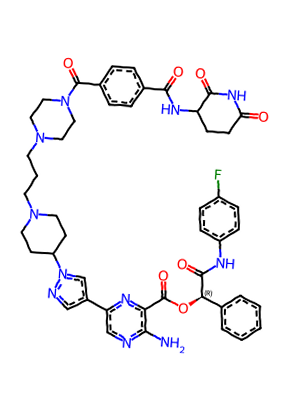 Nc1ncc(-c2cnn(C3CCN(CCCN4CCN(C(=O)c5ccc(C(=O)NC6CCC(=O)NC6=O)cc5)CC4)CC3)c2)nc1C(=O)O[C@@H](C(=O)Nc1ccc(F)cc1)c1ccccc1